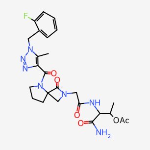 CC(=O)OC(C)C(NC(=O)CN1CC2(CCCN2C(=O)c2nnn(Cc3ccccc3F)c2C)C1=O)C(N)=O